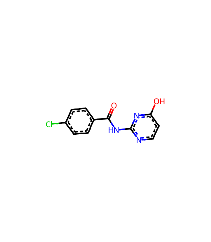 O=C(Nc1nccc(O)n1)c1ccc(Cl)cc1